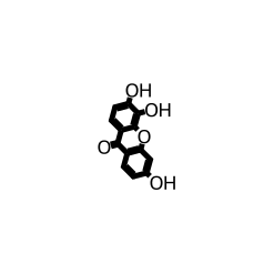 O=c1c2ccc(O)cc2oc2c(O)c(O)ccc12